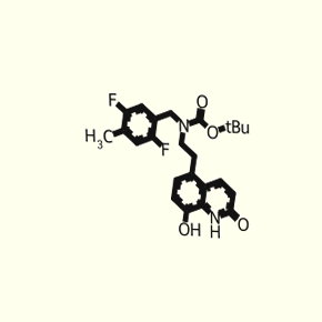 Cc1cc(F)c(CN(CCc2ccc(O)c3[nH]c(=O)ccc23)C(=O)OC(C)(C)C)cc1F